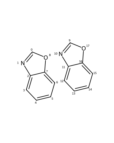 [c]1nc2ccccc2o1.[c]1nc2ccccc2o1